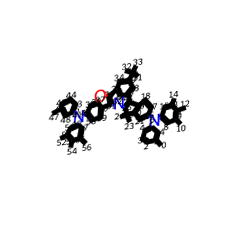 Cc1cccc(N(c2cc(C)c(C)c(C)c2)c2ccc3c(c2)C(C)(C)c2c-3c3cc(C(C)(C)C)cc4c5oc6cc(N(c7cccc(C)c7)c7cc(C)c(C)c(C)c7)ccc6c5n2c34)c1